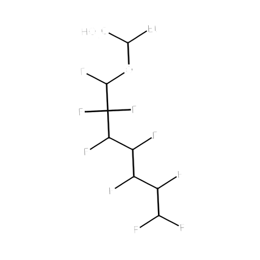 CCC(OC(F)C(F)(F)C(F)C(F)C(F)C(F)C(F)F)C(=O)O